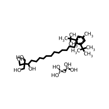 Cc1cc(C(C)(C)C)c(CCCCCCCCCCCCC(O)C(CO)(CO)CO)c(C(C)(C)C)c1.OP(O)OP(O)O